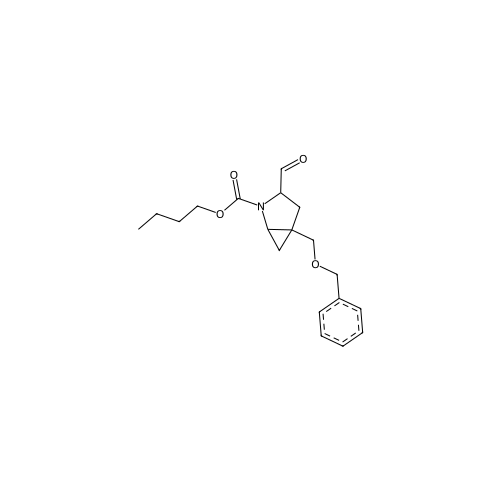 CCCCOC(=O)N1C(C=O)CC2(COCc3ccccc3)CC12